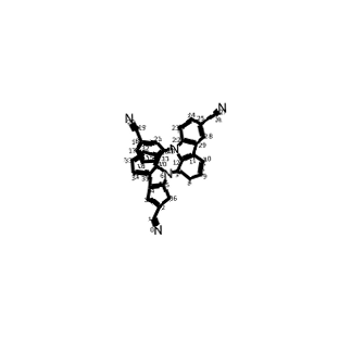 N#CC1=Cc2c(n(C3CC=Cc4c3n(-c3cccc(C#N)c3)c3ccc(C#N)cc43)c3ccccc23)C1